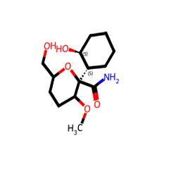 COC1CCC(CO)OC1(C(N)=O)[C@H]1CCCC[C@@H]1O